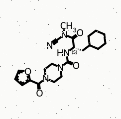 CN(C#N)C(=O)[C@H](CC1CCCCC1)NC(=O)N1CCN(C(=O)c2ccco2)CC1